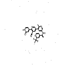 C=C(Nc1cnc(C)c(-c2cnc(-c3ccn(C)c(=O)c3)c(C#N)c2)c1)c1ccnc(C(F)(F)F)c1